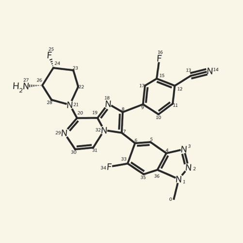 Cn1nnc2cc(-c3c(-c4ccc(C#N)c(F)c4)nc4c(N5CC[C@@H](F)[C@@H](N)C5)nccn34)c(F)cc21